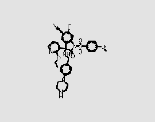 CCOc1ncccc1C1(NCc2ccc(N3CCNCC3)cc2)C(=O)N(S(=O)(=O)c2ccc(OC)cc2)c2cc(F)c(C#N)cc21